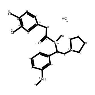 CNc1cccc(C(CN2CCCC2)N(C)C(=O)Cc2ccc(Cl)c(Cl)c2)c1.Cl